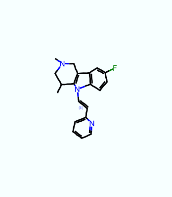 CC1CN(C)Cc2c1n(/C=C/c1ccccn1)c1ccc(F)cc21